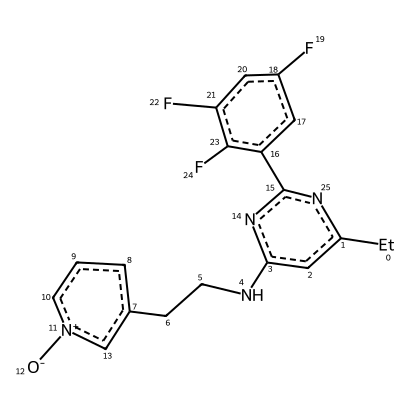 CCc1cc(NCCc2ccc[n+]([O-])c2)nc(-c2cc(F)cc(F)c2F)n1